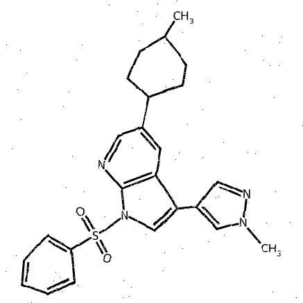 CC1CCC(c2cnc3c(c2)c(-c2cnn(C)c2)cn3S(=O)(=O)c2ccccc2)CC1